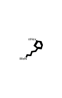 CCCCCCc1cccc(CCCCNC)c1